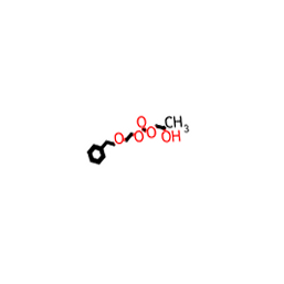 CC(O)COC(=O)OCCOCCc1ccccc1